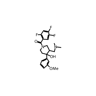 COc1cccc(C2(O)CCN(C(=O)c3cc(F)c(F)cc3F)CC2CN(C)C)c1